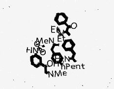 CC(N)Cc1ccccc1.CCCCCc1ccc(CC(C)NC)cc1.CCN(CC)C(C)C(=O)c1ccccc1.CNCC(O)c1cccc(NS(C)(=O)=O)c1